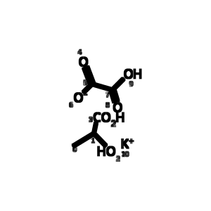 CC(O)C(=O)O.O=C([O-])C(=O)O.[K+]